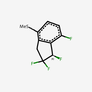 CSc1ccc(F)c2c1CC(F)(F)[C@@H]2F